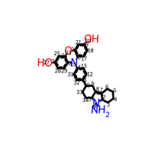 NN1C2CCCCC2=C2CC(c3ccc(N4c5ccc(O)cc5Oc5cc(O)ccc54)cc3)CCC21